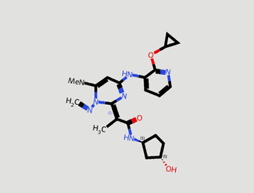 C=NN1C(NC)=CC(Nc2cccnc2OC2CC2)=N/C1=C(/C)C(=O)N[C@H]1CC[C@H](O)C1